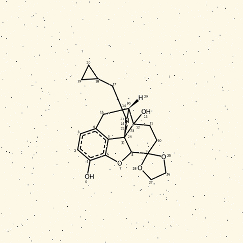 Oc1ccc2c3c1OC1C4(CCC5(O)[C@@H](C2)N(CC2CC2)CCC[C@]315)OCCO4